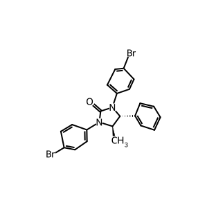 C[C@@H]1[C@@H](c2ccccc2)N(c2ccc(Br)cc2)C(=O)N1c1ccc(Br)cc1